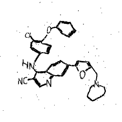 N#Cc1cnc2cc(-c3ccc(CN4CCCCC4)o3)ccc2c1Nc1ccc(Oc2ccccc2)c(Cl)c1